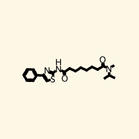 CC(C)N(C)C(=O)CCCCCCC(=O)Nc1nc(-c2ccccc2)cs1